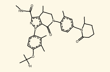 [2H]C(C)(C)Oc1ccc(-n2nc(C(=O)NC)c3c2C(=O)N(c2ccc(N4C(=O)CCCC4C)cc2C)CC3C)c(C)c1C